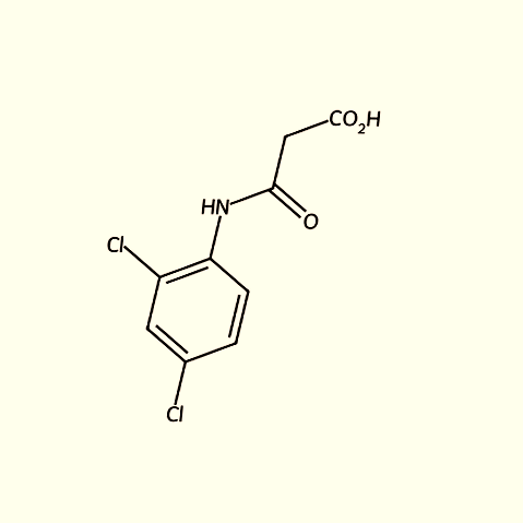 O=C(O)CC(=O)Nc1ccc(Cl)cc1Cl